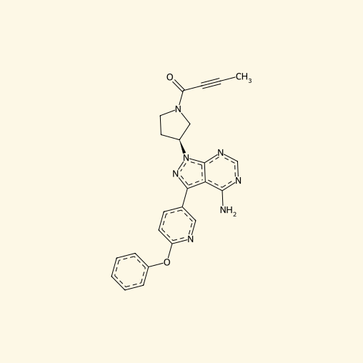 CC#CC(=O)N1CC[C@H](n2nc(-c3ccc(Oc4ccccc4)nc3)c3c(N)ncnc32)C1